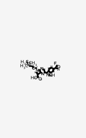 C[Si](C)(C)CCOCn1cc(C(=O)O)c2nc(-c3n[nH]c4cc(C5COC5F)ccc34)cnc21